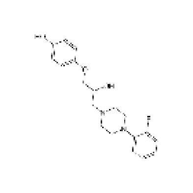 Oc1ccc(OCC(O)CN2CCN(c3ccccc3F)CC2)cc1